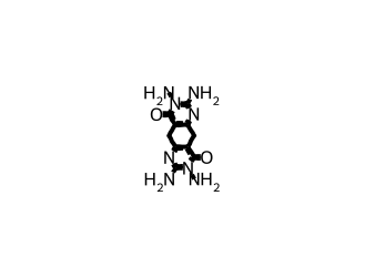 Nc1nc2c(c(=O)n1N)Cc1nc(N)n(N)c(=O)c1C2